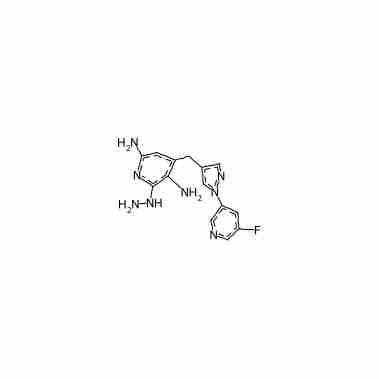 NNc1nc(N)cc(Cc2cnn(-c3cncc(F)c3)c2)c1N